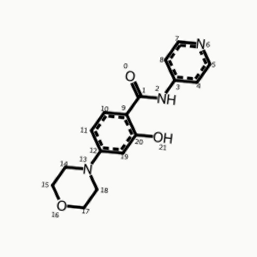 O=C(Nc1ccncc1)c1ccc(N2CCOCC2)cc1O